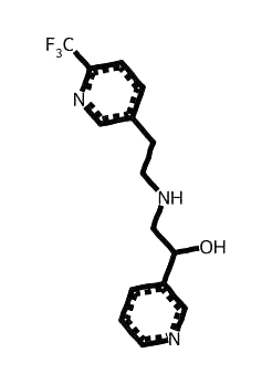 OC(CNCCc1ccc(C(F)(F)F)nc1)c1cccnc1